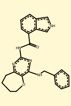 O=C(Nc1nc2c(c(NCc3ccccc3)n1)OCCCC2)c1cccc2c[nH]cc12